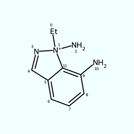 CC[N+]1(N)N=Cc2cccc(N)c21